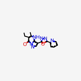 CCc1c(C)[nH]c2c(-c3nnc(-c4ccccn4)o3)cnn2c1=O